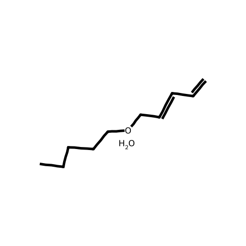 C=CC=CCOCCCCC.O